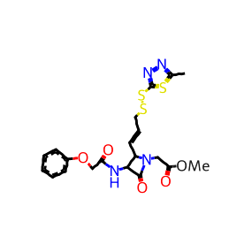 COC(=O)CN1C(=O)C(NC(=O)COc2ccccc2)C1C=CCSSc1nnc(C)s1